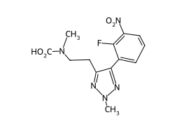 CN(CCc1nn(C)nc1-c1cccc([N+](=O)[O-])c1F)C(=O)O